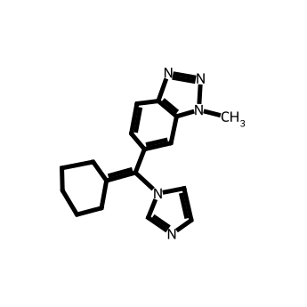 Cn1nnc2ccc(C(=C3CCCCC3)n3ccnc3)cc21